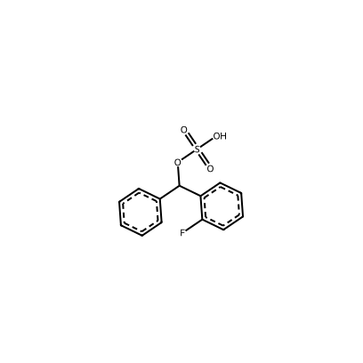 O=S(=O)(O)OC(c1ccccc1)c1ccccc1F